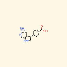 Nc1cc2c(-c3ccc(C(=O)O)cc3)c[nH]c2cn1